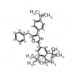 CN(C)c1ccc(-c2nc(-c3cc(C(C)(C)C)c(O)c(C(C)(C)C)c3)oc2Cc2ccccc2)cc1